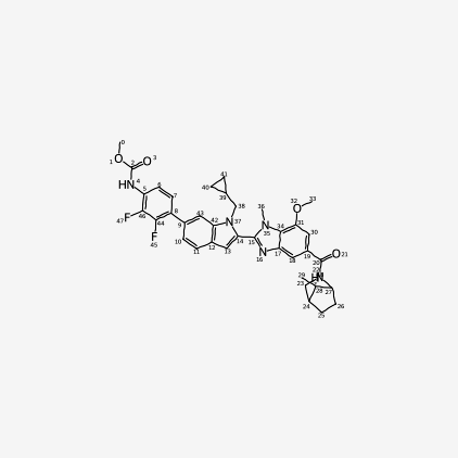 COC(=O)Nc1ccc(-c2ccc3cc(-c4nc5cc(C(=O)N6CC7CCC6[C@@H]7C)cc(OC)c5n4C)n(CC4CC4)c3c2)c(F)c1F